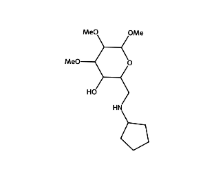 COC1OC(CNC2CCCC2)C(O)C(OC)C1OC